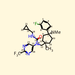 CN[C@]1(c2cccc(F)c2)CC[C@@](C)(CN(C(=O)NCC2CC2)c2cnc(C(F)(F)F)nc2)CC1